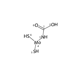 O=C(O)[NH][Mo]([SH])[SH]